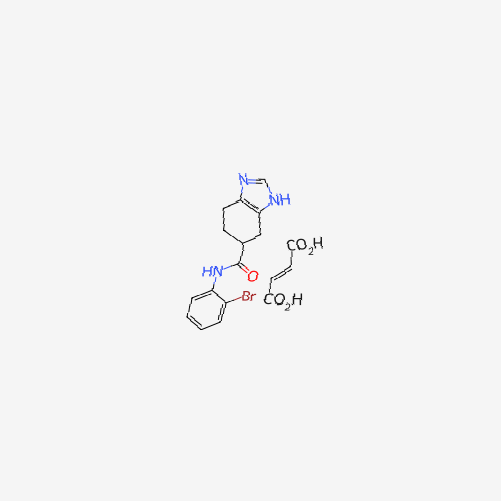 O=C(Nc1ccccc1Br)C1CCc2nc[nH]c2C1.O=C(O)C=CC(=O)O